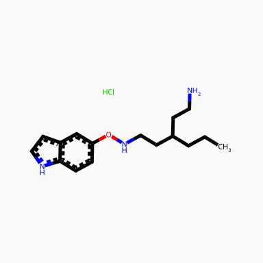 CCCC(CCN)CCNOc1ccc2[nH]ccc2c1.Cl